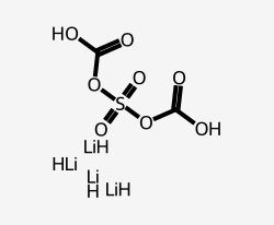 O=C(O)OS(=O)(=O)OC(=O)O.[LiH].[LiH].[LiH].[LiH]